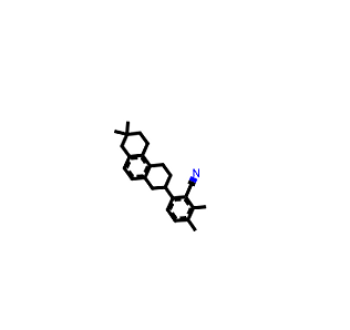 Cc1ccc(C2CCc3c(ccc4c3CCC(C)(C)C4)C2)c(C#N)c1C